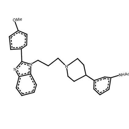 COc1ccc(-c2nc3ccccc3n2CCCN2CCC(c3cccc(NC(C)=O)c3)CC2)cc1